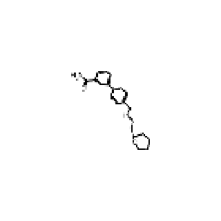 NC(=O)c1cccc(-c2ccc(CNCCC3CCCCC3)cc2)c1